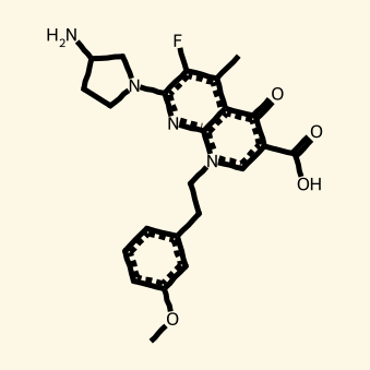 COc1cccc(CCn2cc(C(=O)O)c(=O)c3c(C)c(F)c(N4CCC(N)C4)nc32)c1